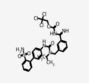 CC(C)N(Cc1cccc(C(=N)NC(=O)OCC(Cl)(Cl)Cl)c1)C(=O)Nc1ccc(-c2ccccc2S(N)(=O)=O)cc1